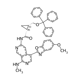 CNc1ncc(-c2nc3cc(OC)ccc3o2)c2cc(NC(=O)[C@@H]3C[C@@H]3COC(c3ccccc3)(c3ccccc3)c3ccccc3)ncc12